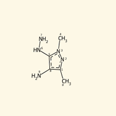 Cc1nn(C)c(NN)c1N